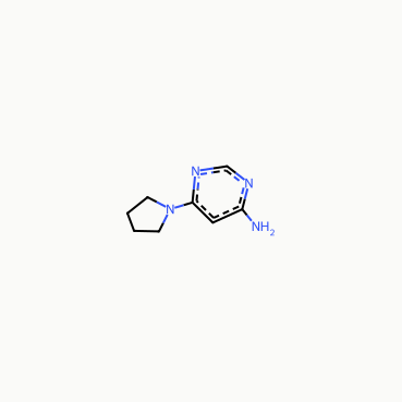 Nc1cc(N2CCCC2)ncn1